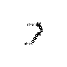 C=C(CCC(=O)Oc1ccc(-c2ccc(C3CCC(CCCCCC)CC3)cc2C)cc1)OOc1ccc(C(=O)O[C-]([CH2+])CCCCC)cc1